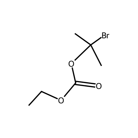 CCOC(=O)OC(C)(C)Br